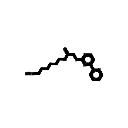 CCCCCCCCCCCCCCCCOC(=O)CSc1nccc(-c2ccccn2)n1